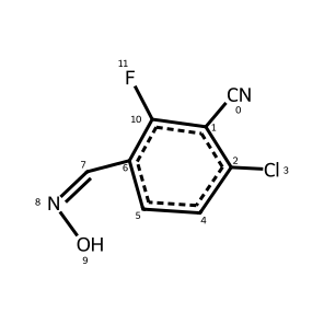 N#Cc1c(Cl)ccc(/C=N\O)c1F